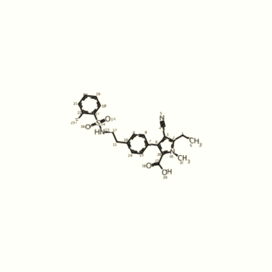 CCc1c(C#N)c(-c2ccc(CCNS(=O)(=O)c3ccccc3F)cc2)c(C(=O)O)n1C